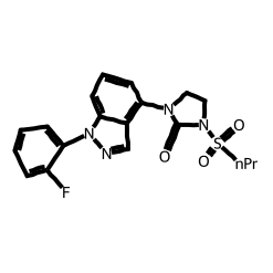 CCCS(=O)(=O)N1CCN(c2cccc3c2cnn3-c2ccccc2F)C1=O